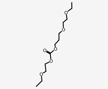 CCOCCOCCCOC(=O)OCCOCC